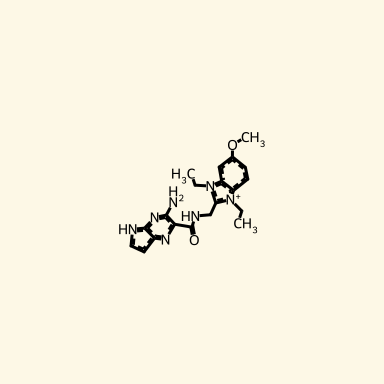 CCn1c(CNC(=O)c2nc3cc[nH]c3nc2N)[n+](CC)c2ccc(OC)cc21